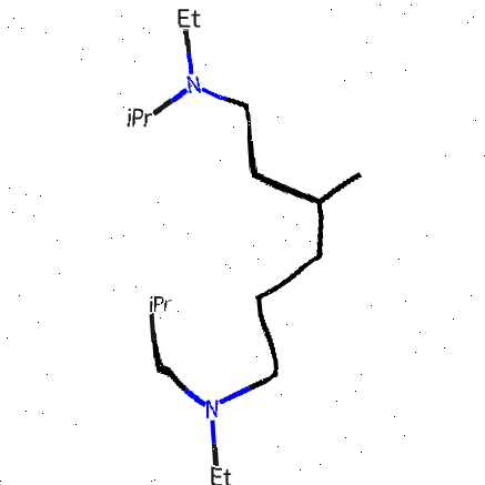 CCN(CCCC(C)CCN(CC)C(C)C)CC(C)C